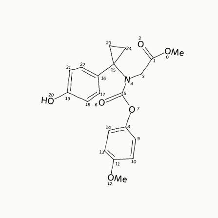 COC(=O)CN(C(=O)Oc1ccc(OC)cc1)C1(c2ccc(O)cc2)CC1